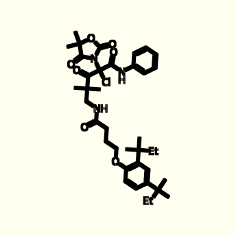 CCC(C)(C)c1ccc(OCCCC(=O)NCC(C)(C)C(=O)C(Cl)(C(=O)Nc2ccccc2)N2C(=O)OC(C)(C)C2=O)c(C(C)(C)CC)c1